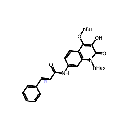 CCCCCCn1c(=O)c(O)c(OCCCC)c2ccc(NC(=O)/C=C/c3ccccc3)cc21